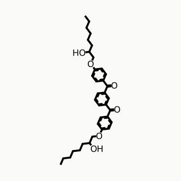 CCCCCCC(O)COc1ccc(C(=O)c2cccc(C(=O)c3ccc(OCC(O)CCCCCC)cc3)c2)cc1